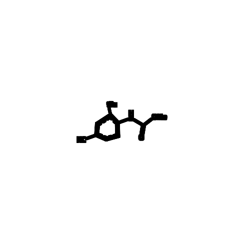 COC(=O)Nc1ccc(C#N)cc1C(C)(C)C